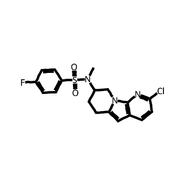 CN(C1CCc2cc3ccc(Cl)nc3n2C1)S(=O)(=O)c1ccc(F)cc1